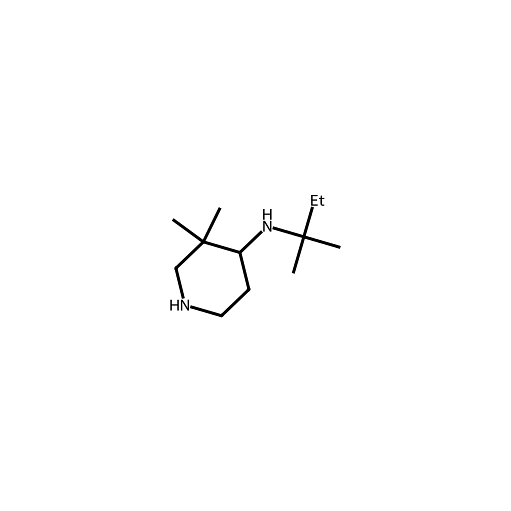 CCC(C)(C)NC1CCNCC1(C)C